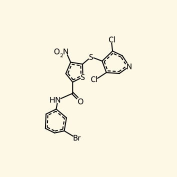 O=C(Nc1cccc(Br)c1)c1cc([N+](=O)[O-])c(Sc2c(Cl)cncc2Cl)s1